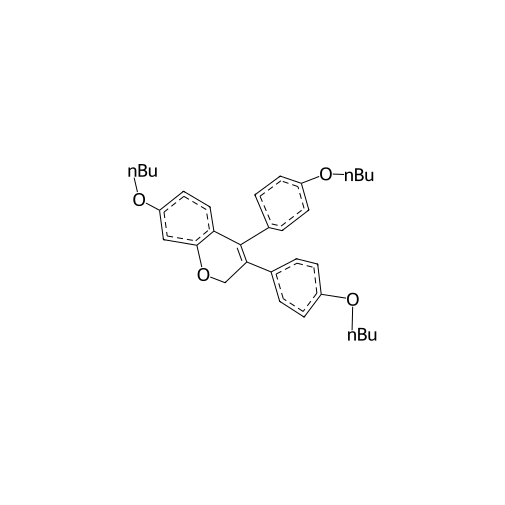 CCCCOc1ccc(C2=C(c3ccc(OCCCC)cc3)c3ccc(OCCCC)cc3OC2)cc1